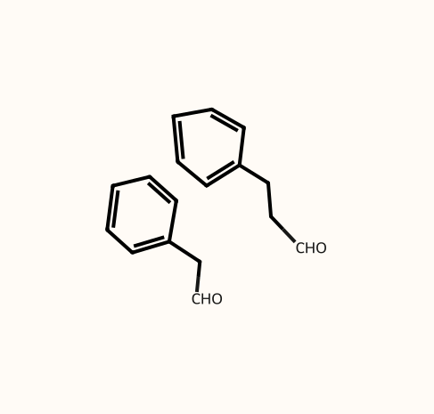 O=CCCc1ccccc1.O=CCc1ccccc1